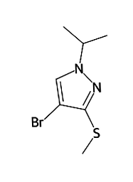 CSc1nn(C(C)C)cc1Br